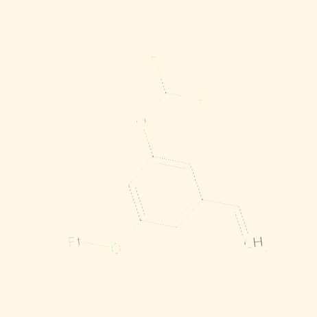 C=[C]c1cc(OCC)cc(OC(F)F)c1